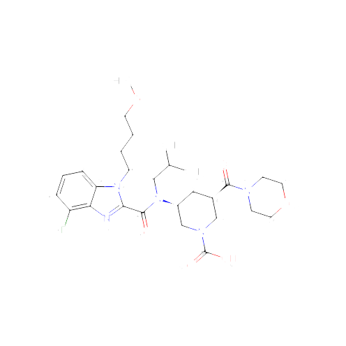 COCCCCn1c(C(=O)N(CC(C)C)[C@H]2C[C@@H](C(=O)N3CCOCC3)CN(C(=O)O)C2)nc2c(F)cccc21